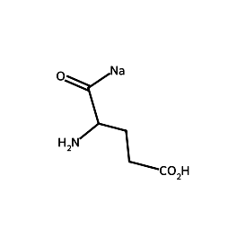 NC(CCC(=O)O)[C](=O)[Na]